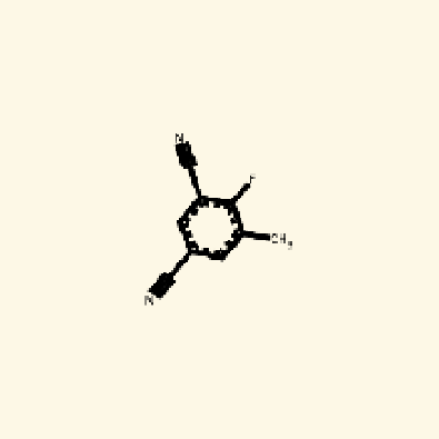 Cc1cc(C#N)cc(C#N)c1F